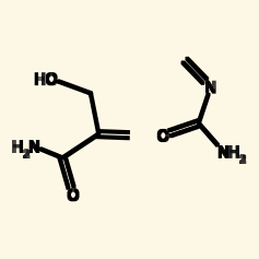 C=C(CO)C(N)=O.C=NC(N)=O